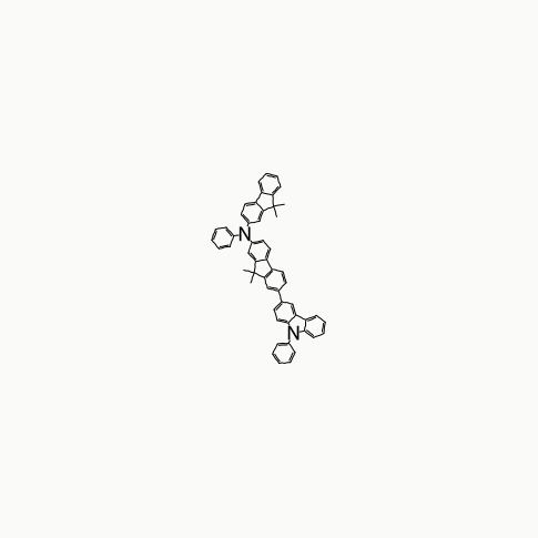 CC1(C)c2ccccc2-c2ccc(N(c3ccccc3)c3ccc4c(c3)C(C)(C)c3cc(-c5ccc6c(c5)c5ccccc5n6-c5ccccc5)ccc3-4)cc21